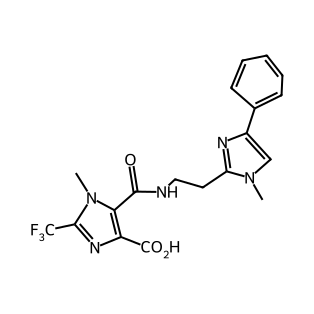 Cn1cc(-c2ccccc2)nc1CCNC(=O)c1c(C(=O)O)nc(C(F)(F)F)n1C